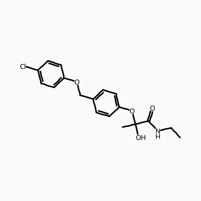 CCNC(=O)C(C)(O)Oc1ccc(COc2ccc(Cl)cc2)cc1